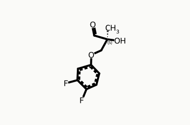 C[C@@](O)(C=O)COc1ccc(F)c(F)c1